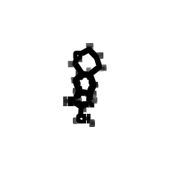 Cc1nc2cc3c(cc2[nH]1)COCCC3